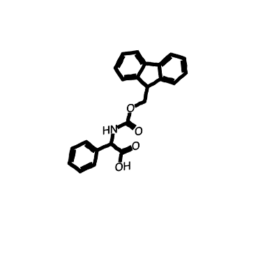 O=C(NC(C(=O)O)c1ccccc1)OCC1c2ccccc2-c2ccccc21